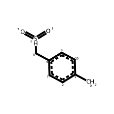 Cc1[c]cc(C[SH](=O)=O)cc1